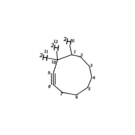 [2H]C1CCCCCCC#CC1([2H])[2H]